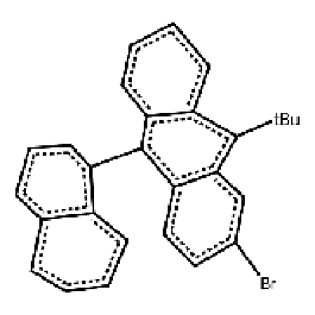 CC(C)(C)c1c2ccccc2c(-c2cccc3ccccc23)c2ccc(Br)cc12